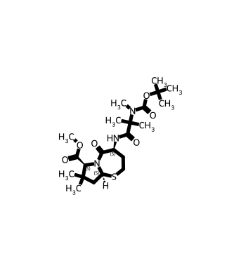 COC(=O)[C@H]1N2C(=O)[C@@H](NC(=O)C(C)(C)N(C)C(=O)OC(C)(C)C)CCS[C@H]2CC1(C)C